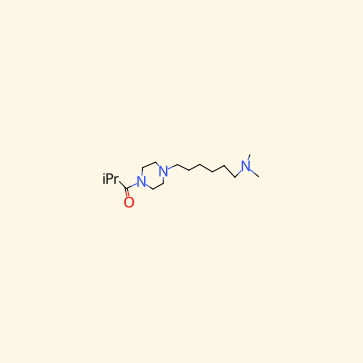 CC(C)C(=O)N1CCN(CCCCCCN(C)C)CC1